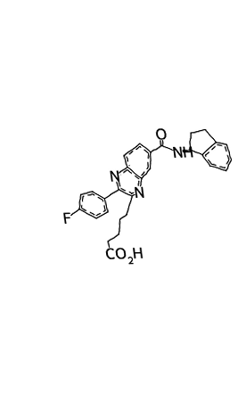 O=C(O)CCCCc1nc2cc(C(=O)N[C@H]3CCc4ccccc43)ccc2nc1-c1ccc(F)cc1